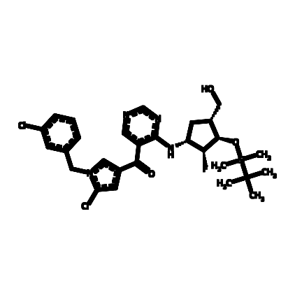 CC(C)(C)[Si](C)(C)O[C@@H]1[C@@H](CO)C[C@@H](Nc2ncncc2C(=O)c2cc(Cl)n(Cc3cccc(Cl)c3)c2)[C@H]1F